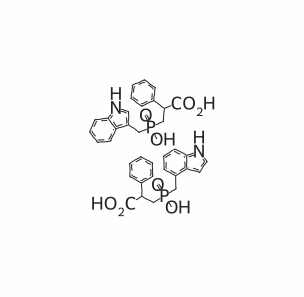 O=C(O)C(CP(=O)(O)Cc1c[nH]c2ccccc12)c1ccccc1.O=C(O)C(CP(=O)(O)Cc1cccc2[nH]ccc12)c1ccccc1